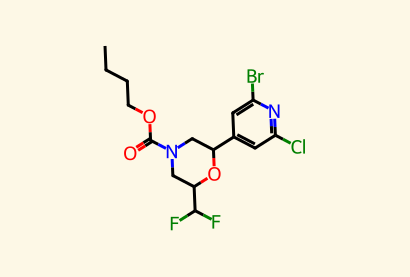 CCCCOC(=O)N1CC(c2cc(Cl)nc(Br)c2)OC(C(F)F)C1